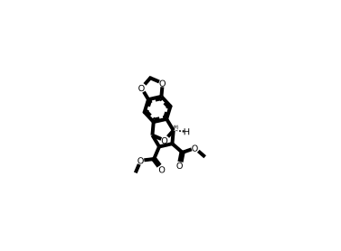 COC(=O)C1C2O[C@@H](c3cc4c(cc32)OCO4)C1C(=O)OC